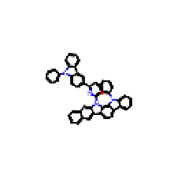 c1ccc(-n2c3ccccc3c3cc(-c4cccc(-n5c6cc7ccccc7cc6c6ccc7c8ccccc8n(-c8ccccc8)c7c65)n4)ccc32)cc1